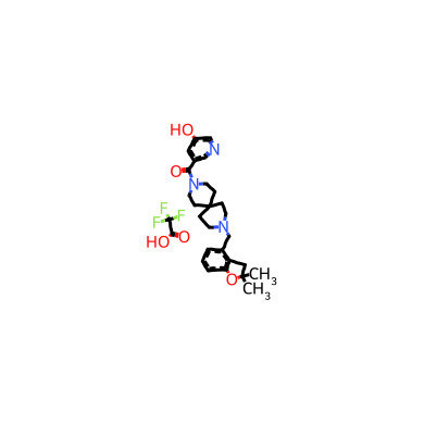 CC1(C)Cc2c(CN3CCC4(CC3)CCN(C(=O)c3cncc(O)c3)CC4)cccc2O1.O=C(O)C(F)(F)F